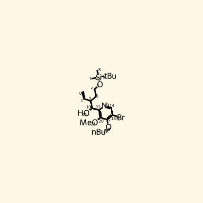 C=CC(CCO[Si](C)(C)C(C)(C)C)C(O)c1ncc(Br)c(OCCCC)c1OC